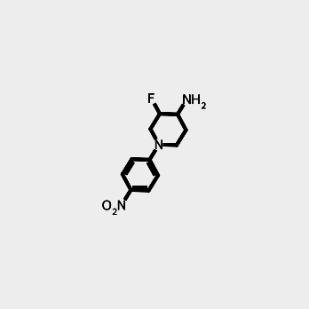 NC1CCN(c2ccc([N+](=O)[O-])cc2)CC1F